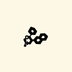 CN1CO[C@H](c2ccccc2)[C@H](c2ccc3ccccc3c2)C1